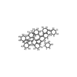 c1ccc(-c2c3cc4c5ccccc5c5cccc(c3c(-c3ccccc3)c3c6cc7c(c8cccc(c23)c86)-c2ccccc2[Si]72c3ccccc3-c3ccccc32)c54)cc1